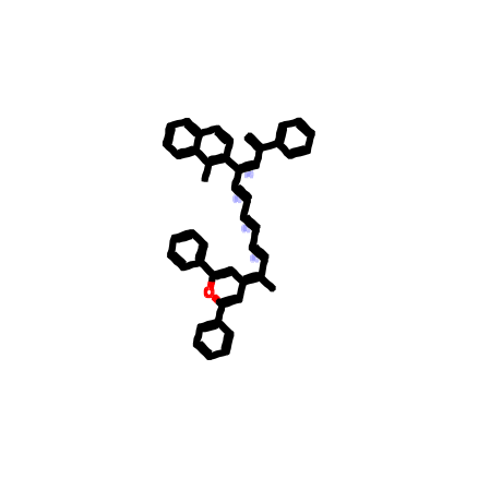 C=C(/C=C(/C=C/C=C/C=C/C(C)=C1C=C(c2ccccc2)OC(c2ccccc2)=C1)c1ccc2ccccc2c1C)c1ccccc1